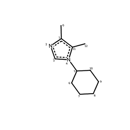 Cc1n[c]n(C2CCCCC2)c1C